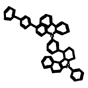 c1ccc(-c2ccc(-c3ccc(N(c4cccc(C5CCCC6C5c5c(ccc7ccccc57)N6c5ccccc5)c4)c4ccccc4-c4ccccc4)cc3)cc2)cc1